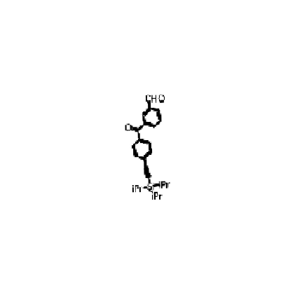 CC(C)[Si](C#Cc1ccc(C(=O)c2cccc(C=O)c2)cc1)(C(C)C)C(C)C